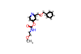 COCCNC(=O)Oc1ccnc(COCc2ccccc2)c1